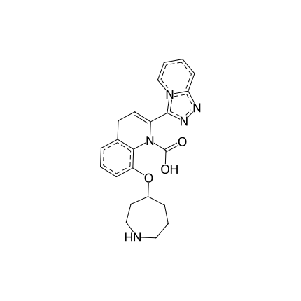 O=C(O)N1C(c2nnc3ccccn23)=CCc2cccc(OC3CCCNCC3)c21